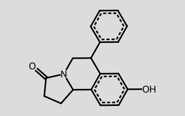 O=C1CCC2c3ccc(O)cc3C(c3ccccc3)CN12